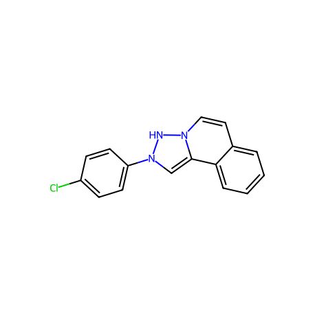 Clc1ccc(N2C=C3c4ccccc4C=CN3N2)cc1